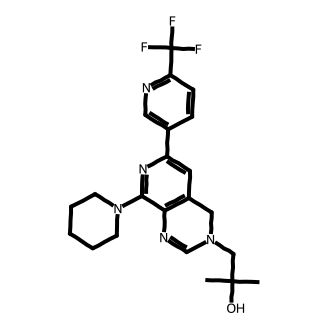 CC(C)(O)CN1C=Nc2c(cc(-c3ccc(C(F)(F)F)nc3)nc2N2CCCCC2)C1